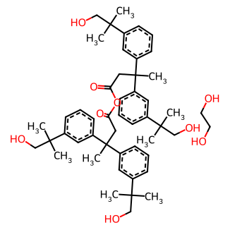 CC(C)(CO)c1cccc(C(C)(CC(=O)OC(=O)CC(C)(c2cccc(C(C)(C)CO)c2)c2cccc(C(C)(C)CO)c2)c2cccc(C(C)(C)CO)c2)c1.OCCO